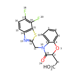 O=C(O)CC1Oc2ccccc2N(Cc2nc3ccc(F)c(F)c3s2)C1=O